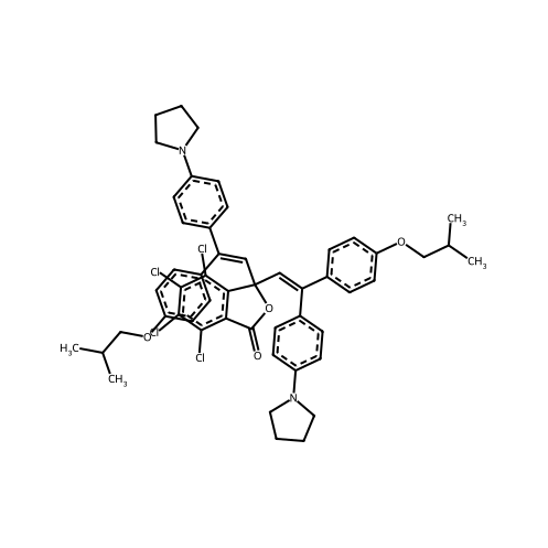 CC(C)COc1ccc(C(=CC2(C=C(c3ccc(OCC(C)C)cc3)c3ccc(N4CCCC4)cc3)OC(=O)c3c(Cl)c(Cl)c(Cl)c(Cl)c32)c2ccc(N3CCCC3)cc2)cc1